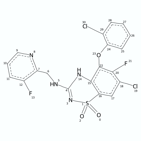 O=S1(=O)N=C(NCc2ncccc2F)Nc2c1cc(Cl)c(F)c2Oc1ccccc1Cl